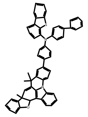 CC1(C)C2=CC3(C)c4ccccc4OC3c3c2n(c2ccccc32)-c2ccc(-c3ccc(N(c4ccc(-c5ccccc5)cc4)c4cccc5c4sc4ccccc45)cc3)cc21